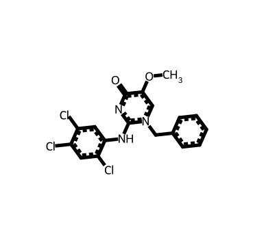 COc1cn(Cc2ccccc2)c(Nc2cc(Cl)c(Cl)cc2Cl)nc1=O